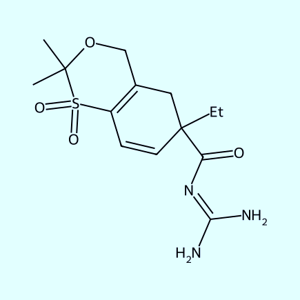 CCC1(C(=O)N=C(N)N)C=CC2=C(COC(C)(C)S2(=O)=O)C1